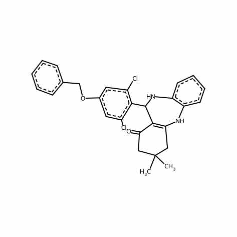 CC1(C)CC(=O)C2=C(C1)Nc1ccccc1NC2c1c(Cl)cc(OCc2ccccc2)cc1Cl